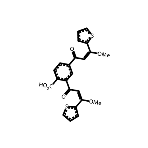 COC(=CC(=O)c1ccc(C(=O)O)c(C(=O)C=C(OC)c2cccs2)c1)c1cccs1